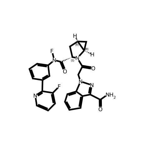 NC(=O)c1nn(CC(=O)N2[C@@H]3C[C@@H]3C[C@H]2C(=O)N(F)c2cccc(-c3ncccc3F)c2)c2ccccc12